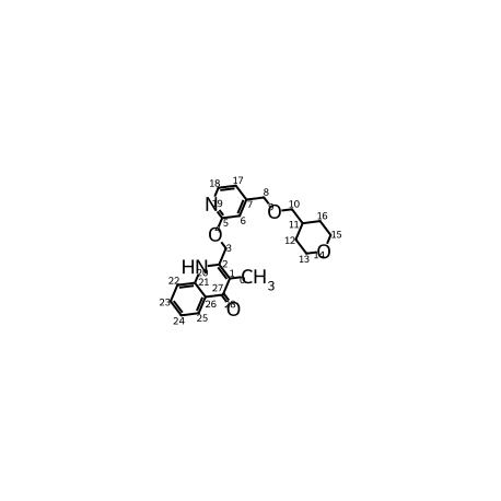 Cc1c(COc2cc(COCC3CCOCC3)ccn2)[nH]c2ccccc2c1=O